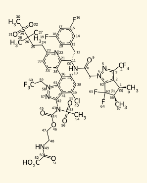 C[C@@H]1c2c(C(F)(F)F)nn(CC(=O)N[C@@H](Cc3cc(F)cc(F)c3)c3nc(CCC(C)(C)S(C)(=O)=O)ccc3-c3ccc(Cl)c4c(N(C(=O)OCCNC(=O)C(=O)O)S(C)(=O)=O)nn(CC(F)(F)F)c34)c2C(F)(F)[C@@H]1C